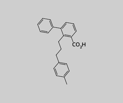 Cc1ccc(CCCc2c(C(=O)O)cccc2-c2ccccc2)cc1